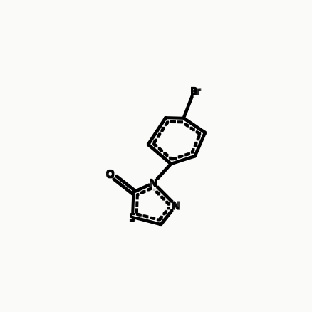 O=c1scnn1-c1ccc(Br)cc1